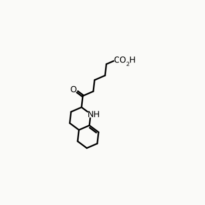 O=C(O)CCCCC(=O)C1CCC2CCCC=C2N1